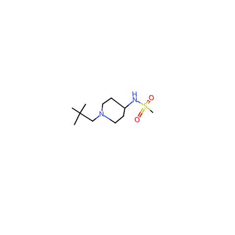 CC(C)(C)CN1CCC(NS(C)(=O)=O)CC1